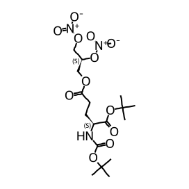 CC(C)(C)OC(=O)N[C@@H](CCC(=O)OC[C@@H](CO[N+](=O)[O-])O[N+](=O)[O-])C(=O)OC(C)(C)C